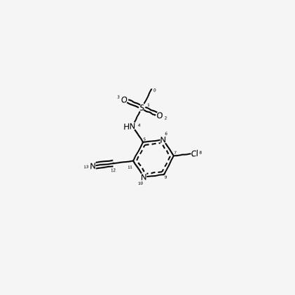 CS(=O)(=O)Nc1nc(Cl)cnc1C#N